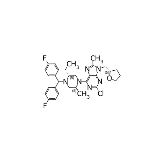 CC[C@@H]1CN(c2nc(Cl)nc3c2nc(C)n3C[C@@H]2CCCO2)[C@@H](C)CN1C(c1ccc(F)cc1)c1ccc(F)cc1